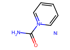 NC(=O)[n+]1ccccc1.[N]